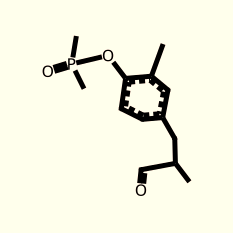 Cc1cc(CC(C)C=O)ccc1OP(C)(C)=O